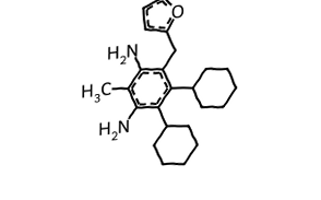 Cc1c(N)c(Cc2ccco2)c(C2CCCCC2)c(C2CCCCC2)c1N